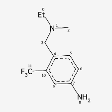 CCN(C)Cc1ccc(N)cc1C(F)(F)F